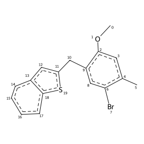 COc1cc(C)c(Br)cc1Cc1cc2ccccc2s1